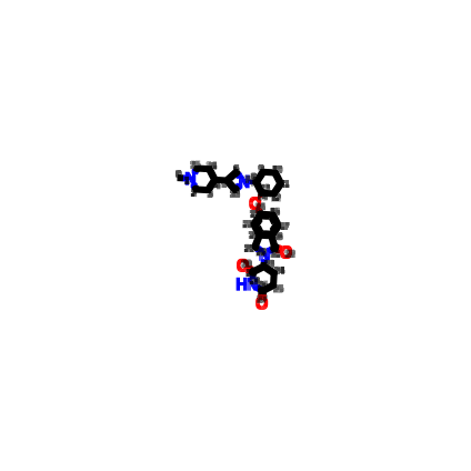 CN1CCC(C2CN([C@H]3CCCC[C@@H]3Oc3ccc4c(c3)CN(C3CCC(=O)NC3=O)C4=O)C2)CC1